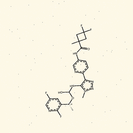 C[C@@H](OC(O)Nc1c(-c2ccc(NC(=O)C3(C)CC(F)(F)C3)cn2)nnn1C)c1cc(F)cnc1F